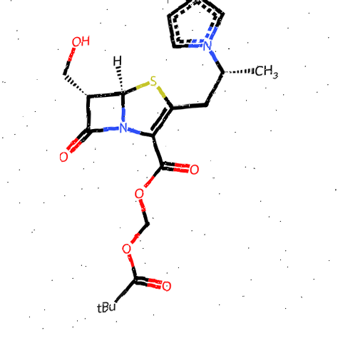 C[C@H](CC1=C(C(=O)OCOC(=O)C(C)(C)C)N2C(=O)[C@H](CO)[C@H]2S1)n1cccc1